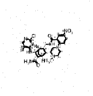 CN1CCN(c2ccc([N+](=O)[O-])cc2C(=O)NC[C@@H]2C[C@@H]3C[C@H]2[C@@H](Nc2nc(Cl)ncc2F)[C@H]3C(N)=O)CC1